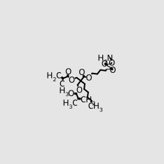 C=C(C)C(=O)OCC(CCCCCC)(COC(=O)C(=C)C)C(=O)OCCCCS(=O)(=O)ON